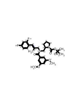 COc1cc(OC)cc(C(=O)N(C/C(C)=C/c2ccc(F)cc2F)CC2CCCN2C(=O)OC(C)(C)C)c1